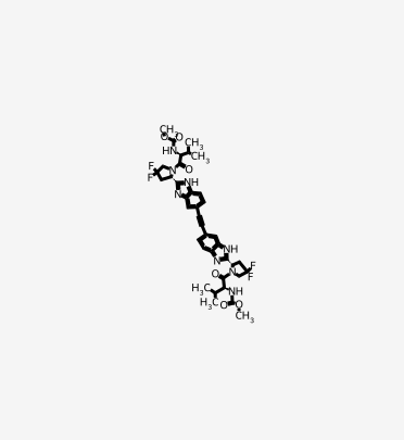 COC(=O)N[C@H](C(=O)N1CC(F)(F)C[C@H]1c1nc2cc(C#Cc3ccc4nc([C@@H]5CC(F)(F)CN5C(=O)[C@@H](NC(=O)OC)C(C)C)[nH]c4c3)ccc2[nH]1)C(C)C